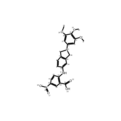 COc1cc(N2Cc3ccc(Nc4ccc([N+](=O)[O-])cc4C(=O)O)cc3C2)cc(OC)c1OC